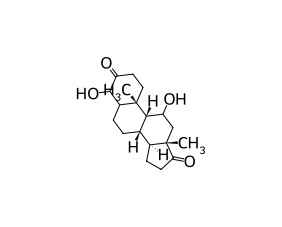 C[C@]12CCC(=O)C(O)C1CC[C@@H]1[C@H]2C(O)C[C@]2(C)C(=O)CC[C@@H]12